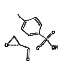 Cc1ccc(S(=O)(=O)O)cc1.O=CC1CO1